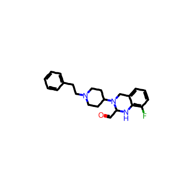 O=CC1Nc2c(F)cccc2CN1C1CCN(CCc2ccccc2)CC1